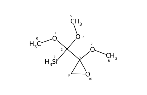 COC([SiH3])(OC)C1(OC)CO1